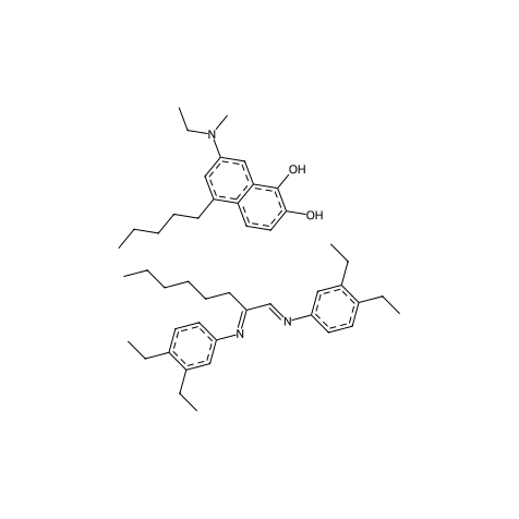 CCCCCCC(C=Nc1ccc(CC)c(CC)c1)=Nc1ccc(CC)c(CC)c1.CCCCCc1cc(N(C)CC)cc2c(O)c(O)ccc12